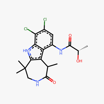 CC1C(=O)NCC(C)(C)c2[nH]c3c(Cl)c(Cl)cc(NC(=O)[C@H](C)O)c3c21